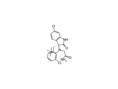 CC(C)(C)CN(CC(N)=O)[C@]1(Cc2cccc(Cl)c2)C(=O)Nc2cc(Cl)ccc21